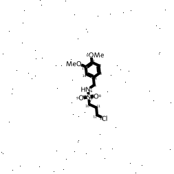 COc1ccc(CNS(=O)(=O)CCCCl)cc1OC